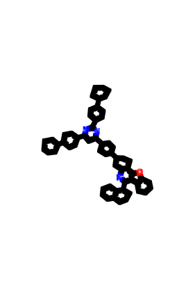 c1ccc(-c2ccc(-c3cc(-c4ccc(-c5ccc6c(c5)nc(-c5cccc7ccccc57)c5c7ccccc7oc65)cc4)nc(-c4ccc(-c5ccccc5)cc4)n3)cc2)cc1